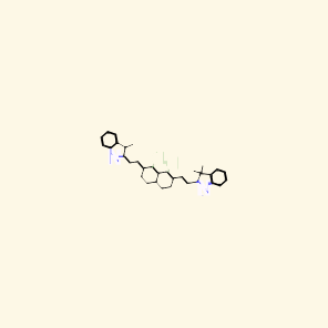 CC1/C(=C\C=C2/CCC3CCC(/C=C/C4N(C)c5ccccc5C4(C)C)=C(Cl)C3=C2Cl)N(C)c2ccccc21